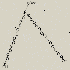 CCCCCCCCCCCCCCCCN(CCCOCCOCCOCCOCCOCCOCCOCCOCCOCCOCCOCCOCCO)CCOCCOCCOCCOCCOCCOCCOCCOCCOCCOCCOCCOCCOCCO